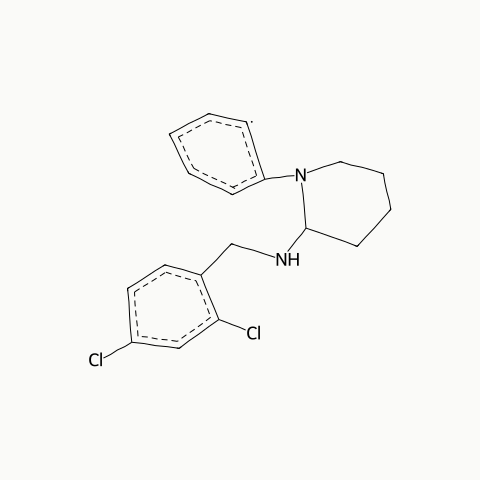 Clc1ccc(CNC2CCCCN2c2[c]cccc2)c(Cl)c1